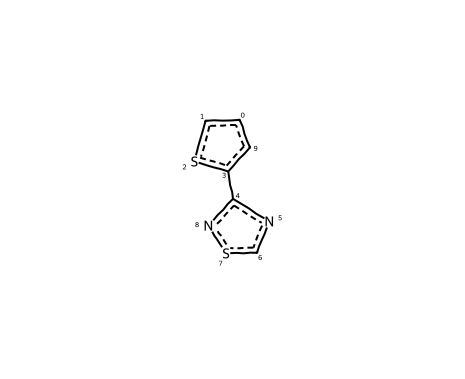 c1csc(-c2ncsn2)c1